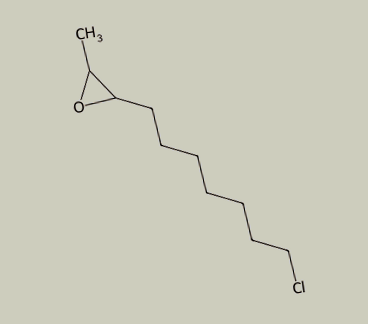 CC1OC1CCCCCCCCl